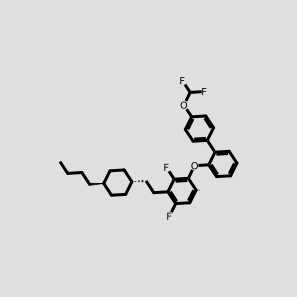 CCCC[C@H]1CC[C@H](CCc2c(F)c[c]c(Oc3ccccc3-c3ccc(OC(F)F)cc3)c2F)CC1